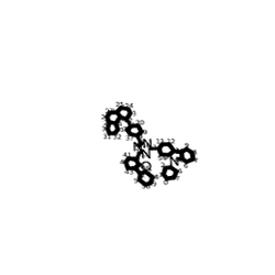 c1ccc(-n2c3ccccc3c3ccc(-c4nc(-c5ccc(-c6cccc7ccc8ccccc8c67)cc5)nc(-c5cccc6c5oc5ccccc56)n4)cc32)cc1